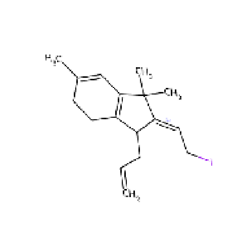 C=CCC1C2=C(C=C(C)CC2)C(C)(C)/C1=C/CI